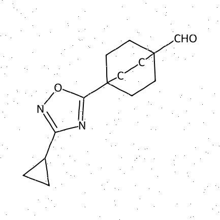 O=CC12CCC(c3nc(C4CC4)no3)(CC1)CC2